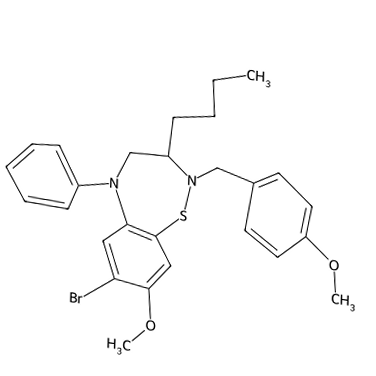 CCCCC1CN(c2ccccc2)c2cc(Br)c(OC)cc2SN1Cc1ccc(OC)cc1